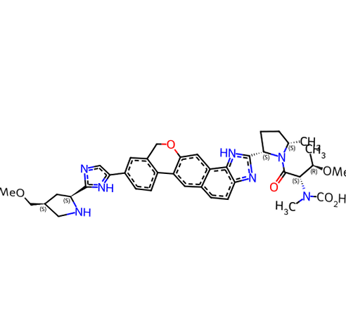 COC[C@@H]1CN[C@H](c2ncc(-c3ccc4c(c3)COc3cc5c(ccc6nc([C@@H]7CC[C@H](C)N7C(=O)[C@H]([C@@H](C)OC)N(C)C(=O)O)[nH]c65)cc3-4)[nH]2)C1